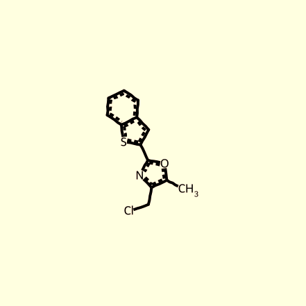 Cc1oc(-c2cc3ccccc3s2)nc1CCl